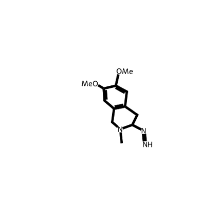 COc1cc2c(cc1OC)CN(C)C(N=N)C2